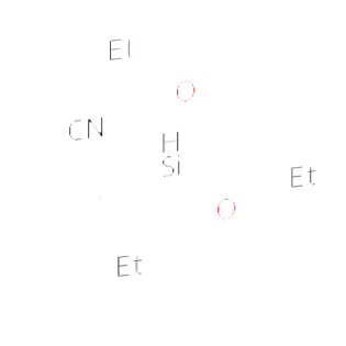 CCO[SiH](OCC)C(C)(C#N)CC